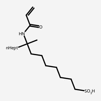 C=CC(=O)NC(C)(CCCCCCC)CCCCCCCS(=O)(=O)O